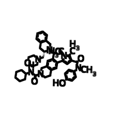 Cc1c(C(=O)N(C)c2ccc(O)cc2)cc(-c2cc3c(cc2C(=O)N2Cc4ccccc4C[C@H]2CN2CCOCC2)CN(C(=O)NC2CCCCC2)CC3)n1C